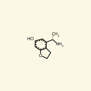 C[C@H](N)c1cccc2c1CCO2.Cl